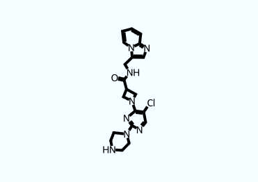 O=C(NCc1cnc2ccccn12)C1CN(c2nc(N3CCNCC3)ncc2Cl)C1